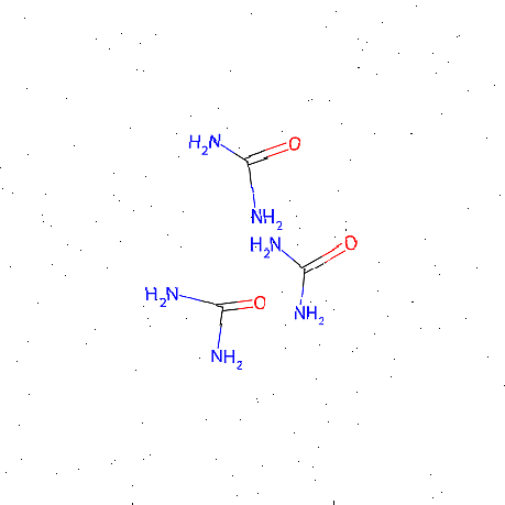 NC(N)=O.NC(N)=O.NC(N)=O